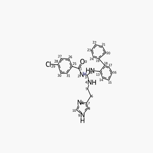 O=C(/N=C(/NCCc1c[nH]cn1)Nc1ccccc1-c1ccccc1)c1ccc(Cl)cc1